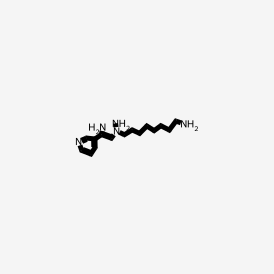 NCCCCCCCCN(N)/C=C(\N)c1cccnc1